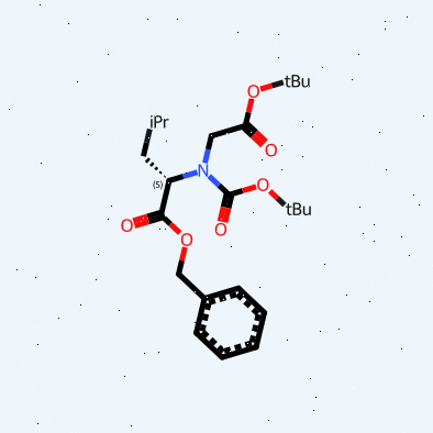 CC(C)C[C@@H](C(=O)OCc1ccccc1)N(CC(=O)OC(C)(C)C)C(=O)OC(C)(C)C